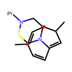 CC1=C/CC(C)/C=C(N2CCN(C(C)C)SC2)/C=C\1